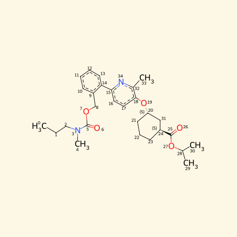 CCCN(C)C(=O)OCc1ccccc1-c1ccc(O[C@H]2CCC[C@H](C(=O)OC(C)C)C2)c(C)n1